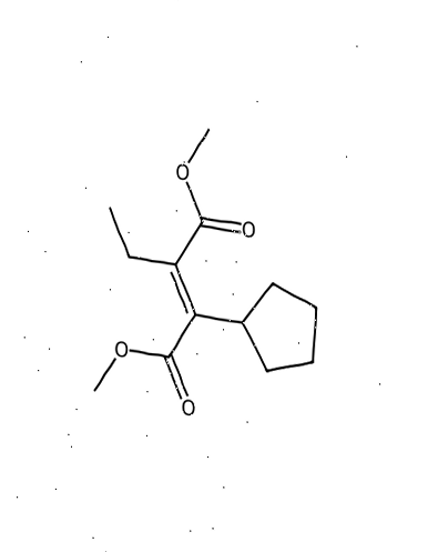 CCC(C(=O)OC)=C(C(=O)OC)C1CCCC1